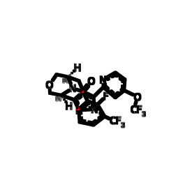 O=C(c1cccc(C(F)(F)F)c1F)N1[C@H]2COC[C@@H]1c1nnc(-c3cc(OC(F)(F)F)ccn3)n1C2